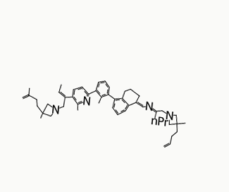 C=CCCC1(C)CN(C/C(CCC)=N/C=C2\CCCc3c2cccc3-c2cccc(-c3ccc(/C(=C\C)CN4CC(C)(CCC(=C)C)C4)c(C)n3)c2C)C1